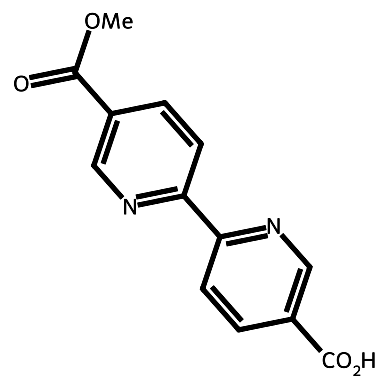 COC(=O)c1ccc(-c2ccc(C(=O)O)cn2)nc1